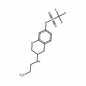 CCCNC1COc2cc(OS(=O)(=O)C(F)(F)F)ccc2C1